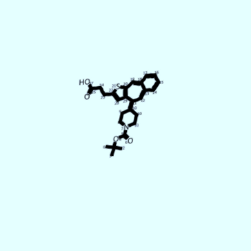 CC(C)(C)OC(=O)N1CCC(=C2C=c3ccccc3=Cc3sc(CCC(=O)O)cc32)CC1